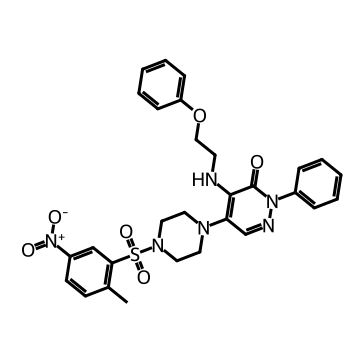 Cc1ccc([N+](=O)[O-])cc1S(=O)(=O)N1CCN(c2cnn(-c3ccccc3)c(=O)c2NCCOc2ccccc2)CC1